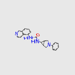 O=C(Nc1cccc2cnccc12)NC1C2CN(c3ccccc3)CC21